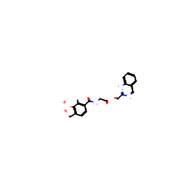 Cc1c(C(=O)NCC(=O)OCc2ncc3ccccc3n2)ccc2c1B(O)OC2